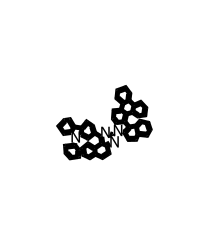 c1ccc(-n2c3ccccc3c3ccc(-c4nc(-n5c6ccc7ccccc7c6c6c7c8ccccc8c8ccccc8c7ccc65)nc5ccc6ccccc6c45)cc32)cc1